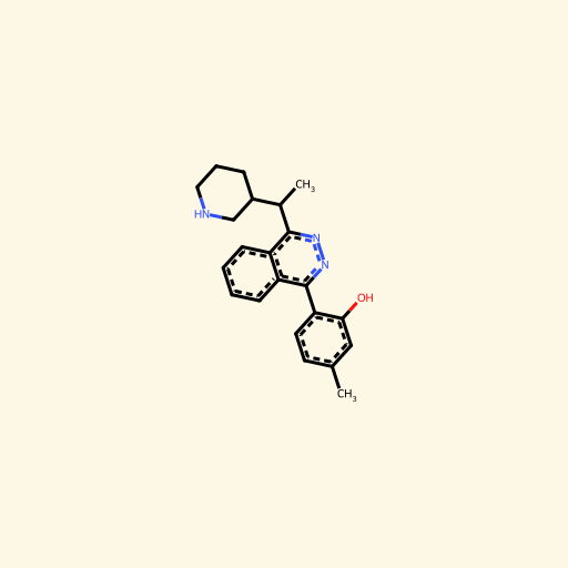 Cc1ccc(-c2nnc(C(C)C3CCCNC3)c3ccccc23)c(O)c1